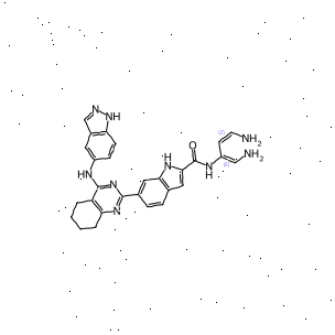 N/C=C\C(=C/N)NC(=O)c1cc2ccc(-c3nc4c(c(Nc5ccc6[nH]ncc6c5)n3)CCCC4)cc2[nH]1